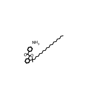 CCCCCCCCCCCCCCCCCC(C)(C)c1ccccc1C(=O)C(=O)c1ccccc1.N